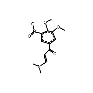 COc1cc(C(=O)/C=C/N(C)C)cc([N+](=O)[O-])c1OC